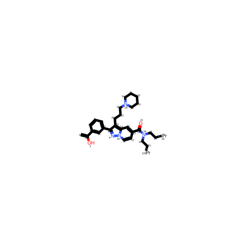 C=C(O)c1cccc(-c2nn3ccc(C(=O)N(CCC(C)C)CCC(C)C)cc3c2CCCN2CCCCC2)c1